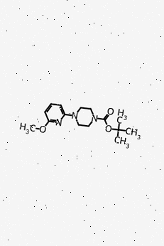 COc1cccc(N2CCN(C(=O)OC(C)(C)C)CC2)n1